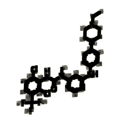 CCN1CCN(c2ccc(Nc3cc(N(C)C(=O)Nc4c(Cl)ccc(C(F)(F)F)c4Cl)ncn3)cc2)CC1